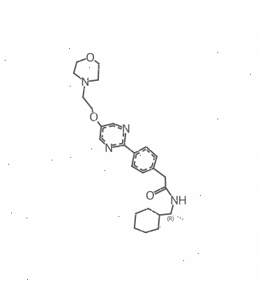 C[C@@H](NC(=O)Cc1ccc(-c2ncc(OCCN3CCOCC3)cn2)cc1)C1CCCCC1